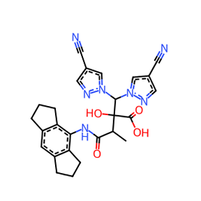 CC(C(=O)Nc1c2c(cc3c1CCC3)CCC2)C(O)(C(=O)O)C(n1cc(C#N)cn1)n1cc(C#N)cn1